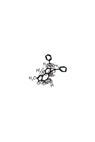 C=C(C)[C@@]12OC3(c4ccccc4)O[C@@H]1[C@@H]1[C@@H](Br)[C@@](O)(CO)[C@@H](O)[C@]4(O)C(=O)C(C)=C[C@H]4[C@@]1(O3)[C@H](C)[C@H]2OC(=O)c1ccccc1